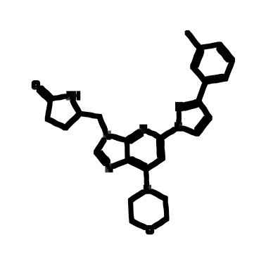 Cc1cccc(-c2ccn(-c3cc(N4CCOCC4)c4ncn(CC5CCC(=O)N5)c4n3)n2)c1